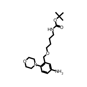 CC(C)(C)OC(=O)NCCCCOCc1cc(N)ccc1N1CCOCC1